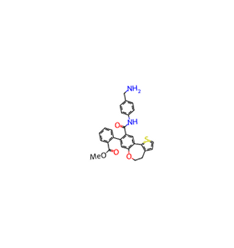 COC(=O)c1ccccc1-c1cc2c(cc1C(=O)Nc1ccc(CN)cc1)-c1sccc1CCO2